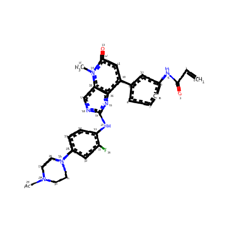 C=CC(=O)Nc1cccc(-c2cc(=O)n(C)c3cnc(Nc4ccc(N5CCN(C(C)=O)CC5)cc4F)nc23)c1